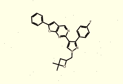 CC1(C)CC(Cn2cc(-c3ncc4cc(-c5ccccc5)oc4n3)c(-c3ccc(F)cc3)n2)O1